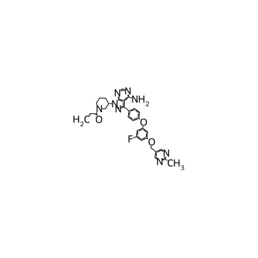 C=CC(=O)N1CCC[C@@H](n2nc(-c3ccc(Oc4cc(F)cc(OCc5cnc(C)nc5)c4)cc3)c3c(N)ncnc32)C1